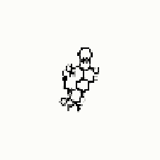 C#CCN1C(=O)C(F)(F)Oc2cc(F)c(-c3c(Cl)n4n(c3=O)CCCC4)cc21